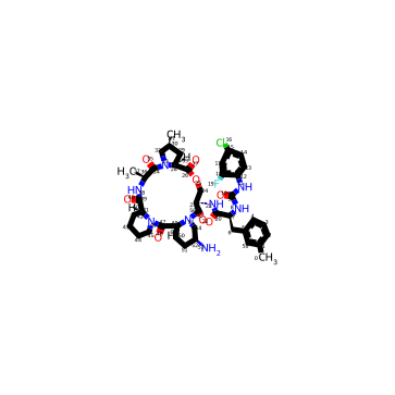 Cc1cccc(C[C@H](NC(=O)Nc2ccc(Cl)cc2F)C(=O)N[C@H]2COC(=O)[C@@H]3C[C@@H](C)CN3C(=O)[C@H](C)NC(=O)[C@@H]3CCCCN3C(=O)[C@@H]3CC[C@H](N)CN3C2=O)c1